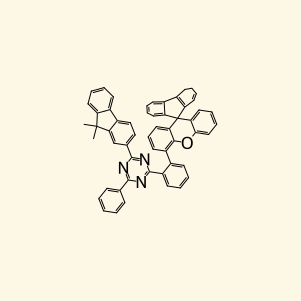 CC1(C)c2ccccc2-c2ccc(-c3nc(-c4ccccc4)nc(-c4ccccc4-c4cccc5c4Oc4ccccc4C54C5=C(CCC=C5)c5ccccc54)n3)cc21